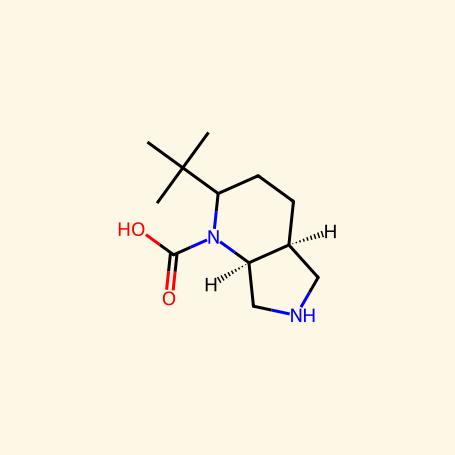 CC(C)(C)C1CC[C@H]2CNC[C@H]2N1C(=O)O